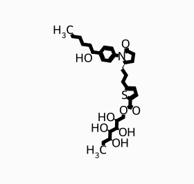 CCCCC[C@H](O)c1ccc(N2C(=O)CC[C@@H]2CCCc2ccc(C(=O)OC[C@@H](O)[C@@H](O)[C@@H](O)[C@H](O)CC)s2)cc1